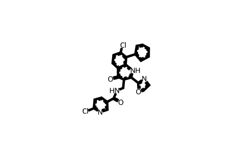 O=C(NCc1c(-c2ncco2)[nH]c2c(-c3ccccc3)c(Cl)ccc2c1=O)c1ccc(Cl)nc1